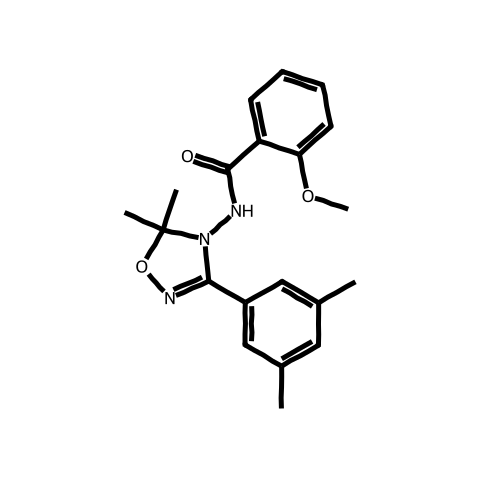 COc1ccccc1C(=O)NN1C(c2cc(C)cc(C)c2)=NOC1(C)C